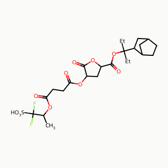 CCC(CC)(OC(=O)C1CC(OC(=O)CCC(=O)OC(C)C(F)(F)S(=O)(=O)O)C(=O)O1)C1CC2CCC1C2